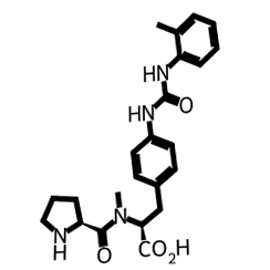 Cc1ccccc1NC(=O)Nc1ccc(C[C@@H](C(=O)O)N(C)C(=O)[C@@H]2CCCN2)cc1